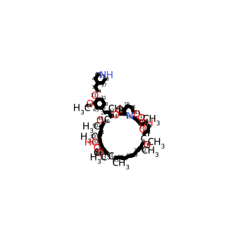 CO[C@H]1C[C@@H]2CC[C@@H](C)[C@@](O)(O2)C(=O)C(=O)N2CCCC[C@H]2C(=O)O[C@H]([C@H](C)C[C@@H]2CC[C@@H](OCCC3CCNCC3)[C@H](OC)C2)CC(=O)[C@H](C)/C=C(\C)[C@@H](O)[C@@H](OC)C(=O)[C@H](C)C[C@H](C)/C=C/C=C/C=C/1C